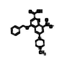 CN1CCN(c2cc([N+](=O)[O-])c3nc(C(=O)O)cc(OCc4ccccc4)c3c2)CC1